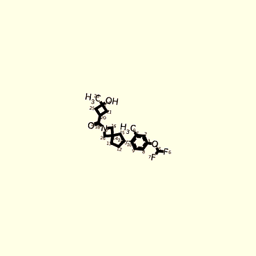 Cc1cc(OC(F)F)ccc1[C@@H]1CCC2(C1)CN(C(=O)C1CC(C)(O)C1)C2